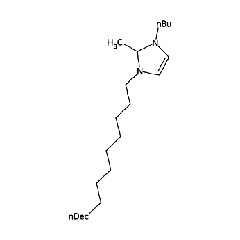 CCCCCCCCCCCCCCCCCCN1C=CN(CCCC)C1C